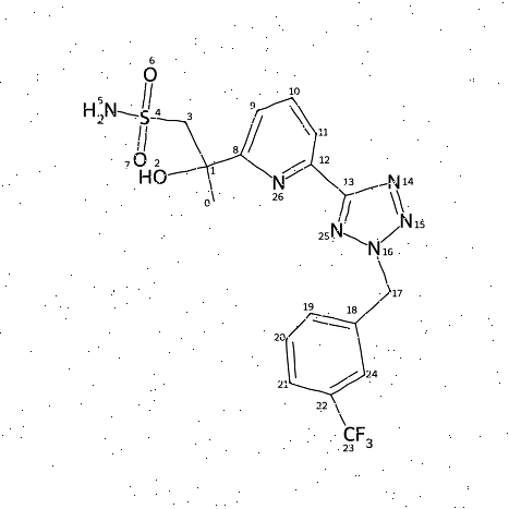 CC(O)(CS(N)(=O)=O)c1cccc(-c2nnn(Cc3cccc(C(F)(F)F)c3)n2)n1